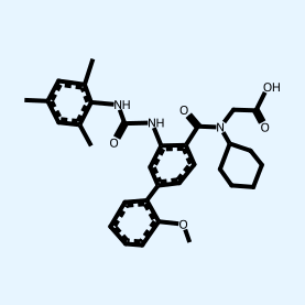 COc1ccccc1-c1ccc(C(=O)N(CC(=O)O)C2CCCCC2)c(NC(=O)Nc2c(C)cc(C)cc2C)c1